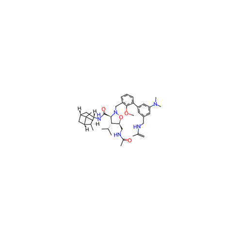 C=C(C)NCc1cc(-c2cccc(CN3O[C@@H](CNC(C)=O)[C@H](C(C)C)[C@H]3C(=O)N[C@H]3C[C@H]4C[C@@H]([C@@H]3C)C4(C)C)c2OC)cc(N(C)C)c1